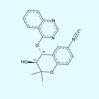 [C-]#[N+]c1ccc2c(c1)[C@@H](Oc1ncnc3ccccc13)[C@H](O)C(C)(C)O2